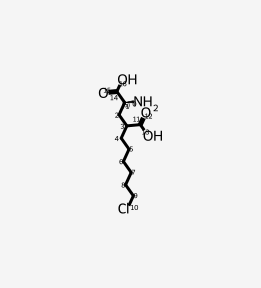 N[C@@H](CC(CCCCCCCl)C(=O)O)C(=O)O